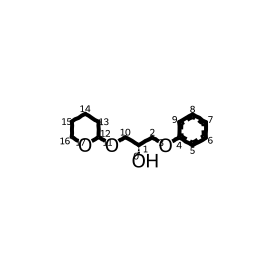 O[C@@H](COc1ccccc1)COC1CCCCO1